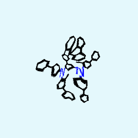 Cc1cc(C2=CCCC=C2)ccc1N(c1ccc(-c2ccccc2)cc1)c1cc(-c2ccc3c(c2)C2(c4ccccc4-c4ccccc42)c2ccccc2-3)cc(N(c2ccc(-c3ccccc3)cc2)c2ccc(-c3ccccc3)cc2C)c1